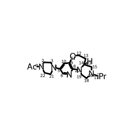 CC(=O)N1CCN(c2cnc3c(c2)OCC[C@@H]2CN(C(C)C)CCN32)CC1